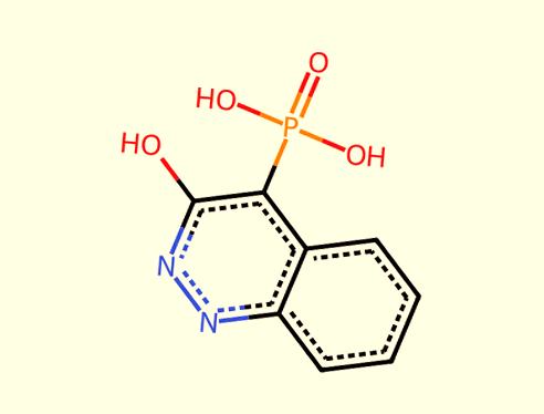 O=P(O)(O)c1c(O)nnc2ccccc12